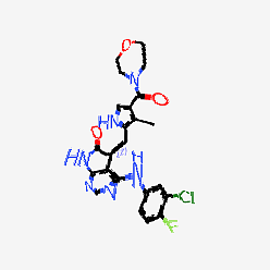 Cc1c(C(=O)N2CCOCC2)c[nH]c1/C=C1\C(=O)Nc2ncnc(Nc3ccc(F)c(Cl)c3)c21